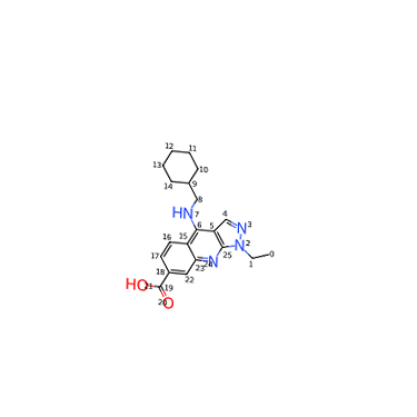 CCn1ncc2c(NCC3CCCCC3)c3ccc(C(=O)O)cc3nc21